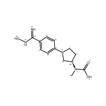 CN(C(=O)O)[C@@H]1CCN(c2ccc(C(=N)NO)cc2)C1